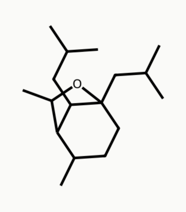 CC(C)CC1C2C(C)CCC1(CC(C)C)OC2C